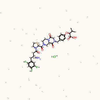 CC(C)C(Oc1ccc(CN2CC(=O)N3CCN(C(=O)C4SCCN4C(=O)C[C@H](N)Cc4cc(F)c(F)cc4F)CC3C2=O)cc1)C(=O)O.Cl